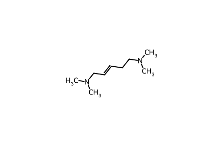 CN(C)CC=CCCN(C)C